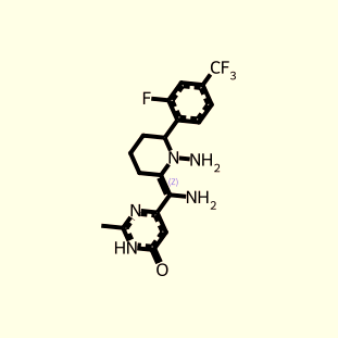 Cc1nc(/C(N)=C2\CCCC(c3ccc(C(F)(F)F)cc3F)N2N)cc(=O)[nH]1